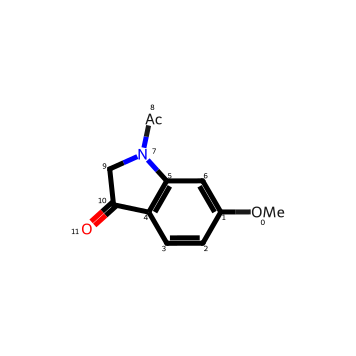 COc1ccc2c(c1)N(C(C)=O)CC2=O